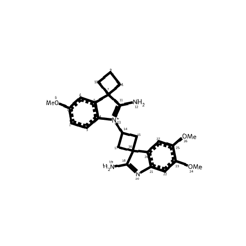 COc1ccc2c(c1)C1(CCC1)C(N)=[N+]2C1CC2(C1)C(N)=Nc1cc(OC)c(OC)cc12